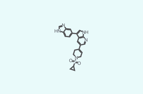 O=S(=O)(C1CC1)N1CC=C(c2cnc3[nH]cc(-c4ccc5[nH]cnc5c4)c3c2)CC1